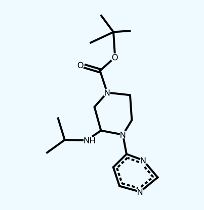 CC(C)NC1CN(C(=O)OC(C)(C)C)CCN1c1ccncn1